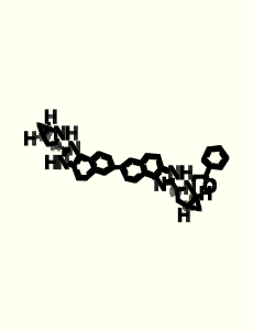 O=C(CN1[C@@H]2C[C@@H]2C[C@H]1c1nc2c(ccc3cc(-c4ccc5c(ccc6[nH]c([C@@H]7C[C@H]8C[C@H]8N7)nc65)c4)ccc32)[nH]1)c1ccccc1